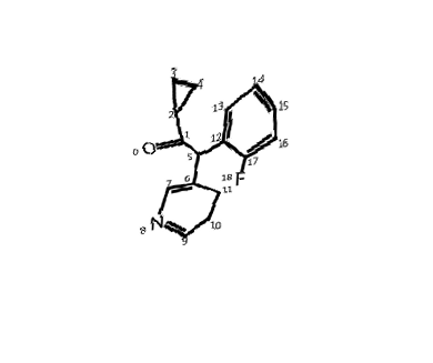 O=C(C1CC1)C(C1=CN=CCC1)c1ccccc1F